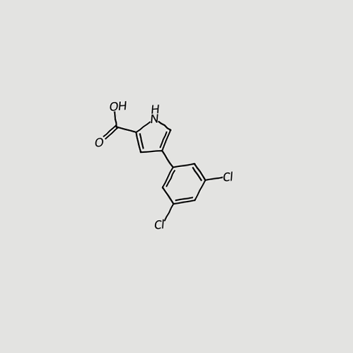 O=C(O)c1cc(-c2cc(Cl)cc(Cl)c2)c[nH]1